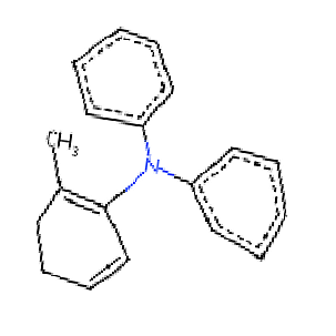 CC1=C(N(c2ccccc2)c2ccccc2)C=CCC1